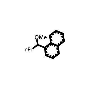 [CH2]CCC(OC)c1cccc2ccccc12